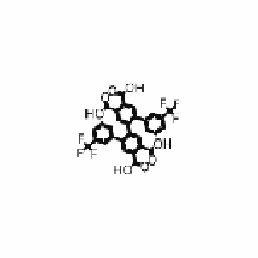 O=C(O)c1cc(-c2cccc(C(F)(F)F)c2)c(-c2cc(C(=O)O)c(C(=O)O)cc2-c2cccc(C(F)(F)F)c2)cc1C(=O)O